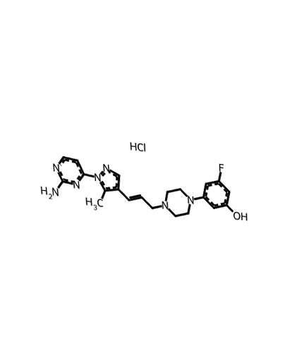 Cc1c(C=CCN2CCN(c3cc(O)cc(F)c3)CC2)cnn1-c1ccnc(N)n1.Cl